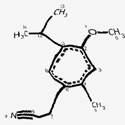 COc1cc(C)c(CC#N)cc1C(C)C